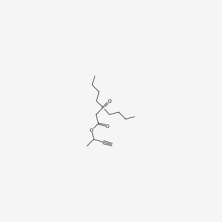 C#CC(C)OC(=O)CP(=O)(CCCC)CCCC